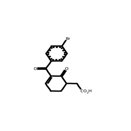 O=C(O)CC1CCC=C(C(=O)c2ccc(Br)cc2)C1=O